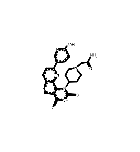 COc1ccc(-c2ccc3ncc4c(=O)[nH]c(=O)n(C5CCN(CC(N)=O)CC5)c4c3n2)cn1